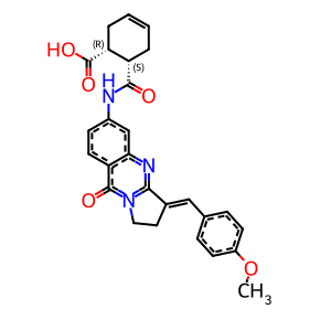 COc1ccc(C=C2CCn3c2nc2cc(NC(=O)[C@H]4CC=CC[C@H]4C(=O)O)ccc2c3=O)cc1